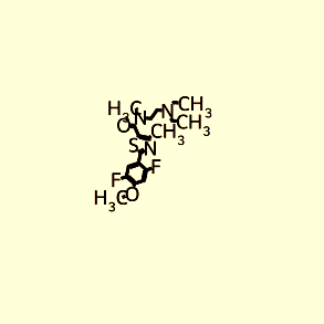 CCN(CC)CCN(C)C(=O)c1sc(-c2cc(F)c(OC)cc2F)nc1C